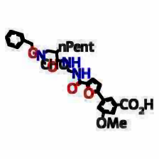 CCCCCC(CN(C=O)OCc1ccccc1)C(=O)NCNC(=O)c1ccc(-c2cc(OC)cc(C(=O)O)c2)o1